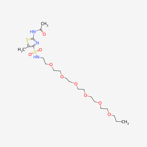 CCCOCCOCCOCCOCCOCCOCCNS(=O)(=O)c1nc(NC(C)=O)sc1C